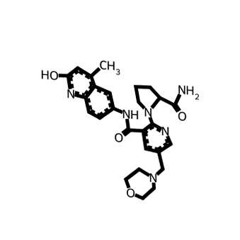 Cc1cc(O)nc2ccc(NC(=O)c3cc(CN4CCOCC4)cnc3N3CCCC3C(N)=O)cc12